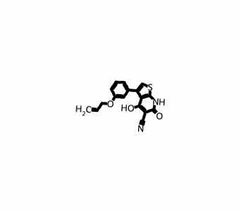 C=CCOc1cccc(-c2csc3[nH]c(=O)c(C#N)c(O)c23)c1